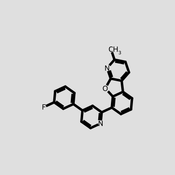 Cc1ccc2c(n1)oc1c(-c3cc(-c4cccc(F)c4)ccn3)cccc12